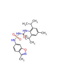 Cc1cc(C(C)C)c(NC(=O)NS(=O)(=O)Nc2ccc3c(C)noc3c2)c(C(C)C)c1